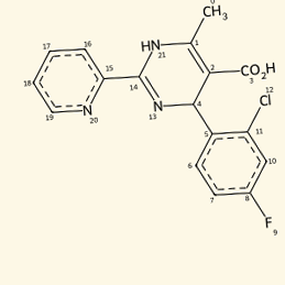 CC1=C(C(=O)O)C(c2ccc(F)cc2Cl)N=C(c2ccccn2)N1